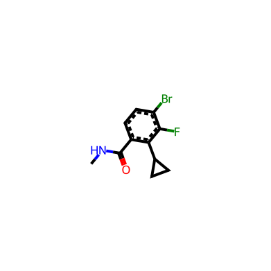 CNC(=O)c1ccc(Br)c(F)c1C1CC1